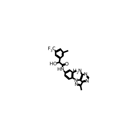 Cc1cc(C(O)C(=O)Nc2ccc(-n3nc(C)c4ncnc(N)c43)c(C)c2)cc(C(F)(F)F)c1